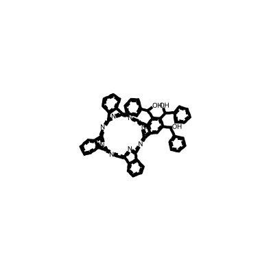 OC(c1ccccc1)c1cc2c3nc4nc(nc5[nH]c(nc6nc(nc([nH]3)c2c(C(O)c2ccccc2)c1C(O)c1ccccc1)-c1ccccc1-6)c1ccccc51)-c1ccccc1-4